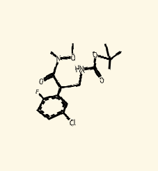 CON(C)C(=O)C(CNC(=O)OC(C)(C)C)c1cc(Cl)ccc1F